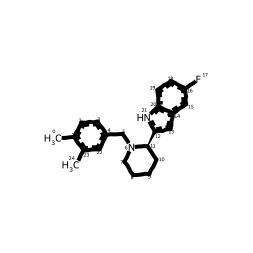 Cc1ccc(CN2CCCC[C@@H]2c2cc3cc(F)ccc3[nH]2)cc1C